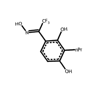 CCCc1c(O)ccc(C(=NO)C(F)(F)F)c1O